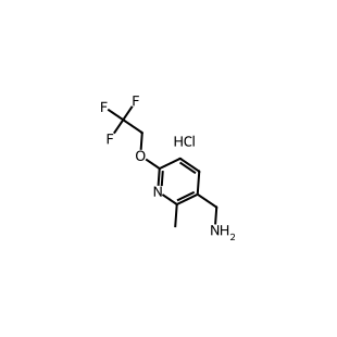 Cc1nc(OCC(F)(F)F)ccc1CN.Cl